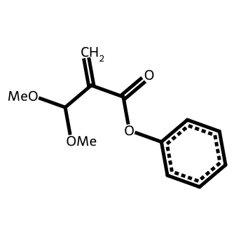 C=C(C(=O)Oc1ccccc1)C(OC)OC